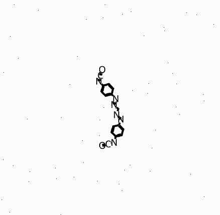 O=C=Nc1ccc(N=NCN=Nc2ccc(N=C=O)cc2)cc1